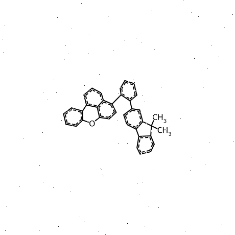 CC1(C)c2ccccc2-c2ccc(-c3ccccc3-c3ccc4c5c(cccc35)-c3ccccc3O4)cc21